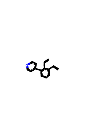 C=Cc1cccc(-c2ccncc2)c1C=C